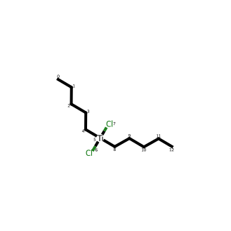 CCCC[CH2][Ti]([Cl])([Cl])[CH2]CCCC